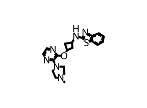 CN1CCN(c2nccnc2OC2CC(Nc3nc4ccccc4s3)C2)CC1